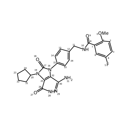 COc1ccc(F)cc1C(=O)NCc1ccc(-n2c(=O)n(C3CCCC3)c3c(=O)[nH]nc(N)c32)cc1